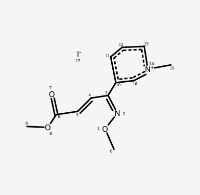 CON=C(C=CC(=O)OC)c1ccc[n+](C)c1.[I-]